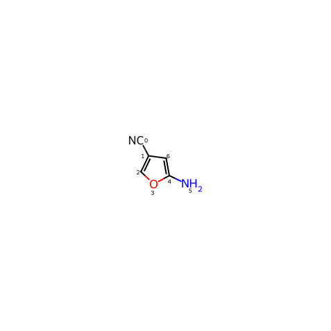 N#Cc1coc(N)c1